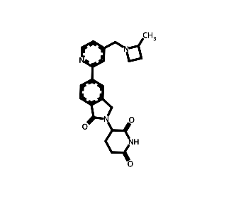 CC1CCN1Cc1ccnc(-c2ccc3c(c2)CN(C2CCC(=O)NC2=O)C3=O)c1